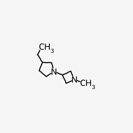 CCC1CCN(C2CN(C)C2)C1